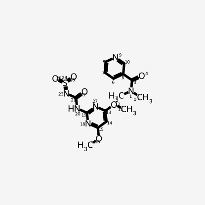 CN(C)C(=O)c1cccnc1.COc1cc(OC)nc(NC(=O)N=S(=O)=O)n1